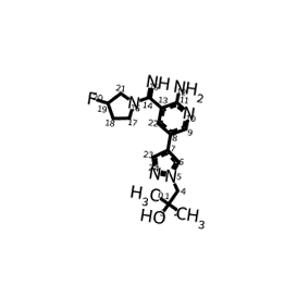 CC(C)(O)Cn1cc(-c2cnc(N)c(C(=N)N3CCC(F)C3)c2)cn1